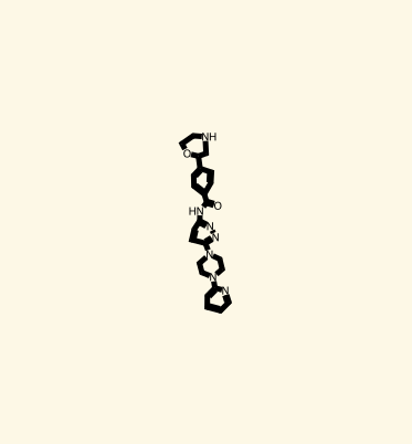 O=C(Nc1ccc(N2CCN(c3ccccn3)CC2)nn1)c1ccc(C2CNCCO2)cc1